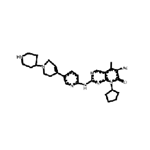 CC(=O)c1c(C)c2cnc(Nc3ccc(C4=CCN(C5CCNCC5)CC4)cn3)nc2n(C2CCCC2)c1=O